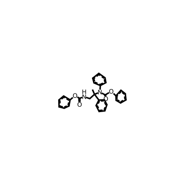 CC(CNC(=O)Oc1ccccc1)(c1ccccc1)N(C(=O)Oc1ccccc1)c1ccccc1